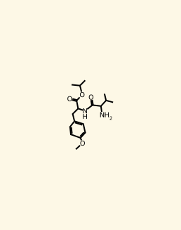 COc1ccc(CC(NC(=O)C(N)C(C)C)C(=O)OC(C)C)cc1